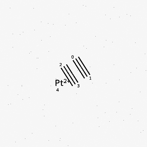 C#C.C#C.[Pt+2]